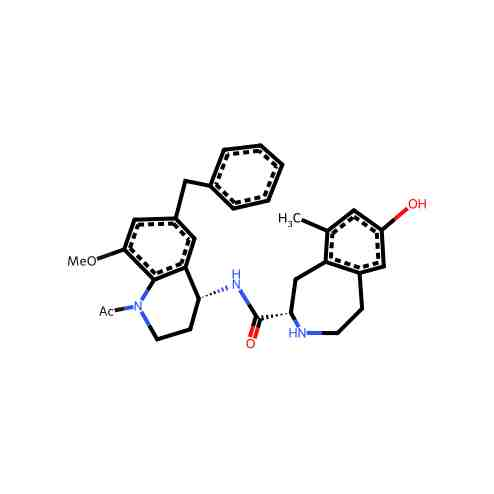 COc1cc(Cc2ccccc2)cc2c1N(C(C)=O)CC[C@H]2NC(=O)[C@@H]1Cc2c(C)cc(O)cc2CCN1